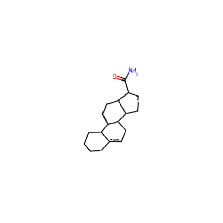 NC(=O)C1CCC2C1CCC1C3CCCCC3=CCC12